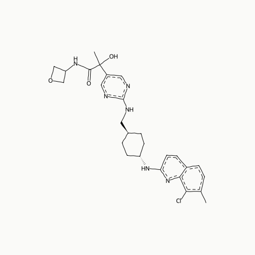 Cc1ccc2ccc(N[C@H]3CC[C@H](CNc4ncc(C(C)(O)C(=O)NC5COC5)cn4)CC3)nc2c1Cl